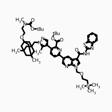 Cc1c(-c2ccc(-c3cnc4c(c3)c(C(=O)Nc3nc5ccccc5s3)cn4COCC[Si](C)(C)C)nc2C(=O)OC(C)(C)C)cnn1CC12CC3(C)CC(C)(C1)CC(OCCN(C)C(=O)OC(C)(C)C)(C3)C2